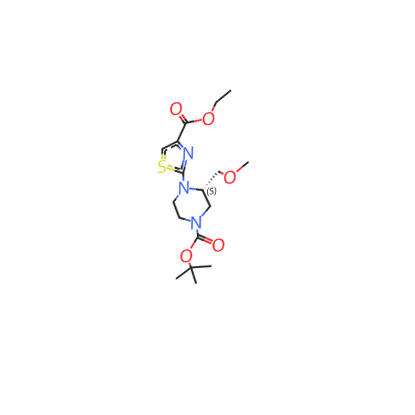 CCOC(=O)c1csc(N2CCN(C(=O)OC(C)(C)C)C[C@H]2COC)n1